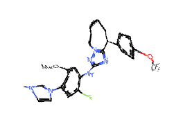 COc1cc(Nc2nc3n(n2)CCCC[C@H]3c2ccc(OC(F)(F)F)cc2)c(F)cc1N1C=CN(C)C1